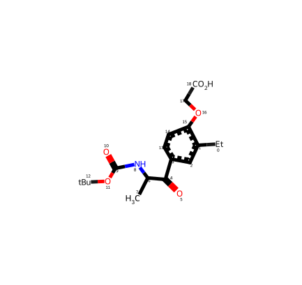 CCc1cc(C(=O)C(C)NC(=O)OC(C)(C)C)ccc1OCC(=O)O